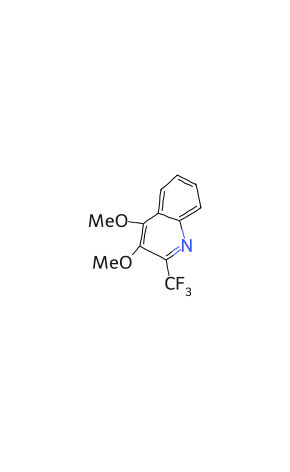 COc1c(C(F)(F)F)nc2ccccc2c1OC